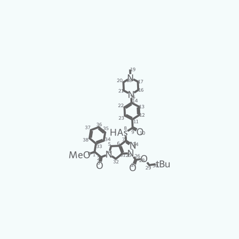 COC(C(=O)N1Cc2c([AsH]C(=O)c3ccc(N4CCN(C)CC4)cc3)nn(C(=O)OCC(C)(C)C)c2C1)c1ccccc1